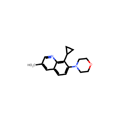 O=C(O)c1cnc2c(C3CC3)c(N3CCOCC3)ccc2c1